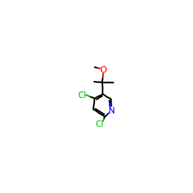 COC(C)(C)c1cnc(Cl)cc1Cl